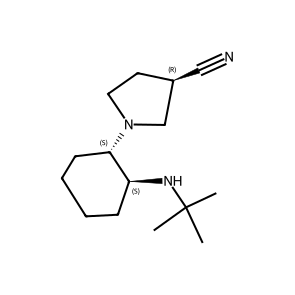 CC(C)(C)N[C@H]1CCCC[C@@H]1N1CC[C@@H](C#N)C1